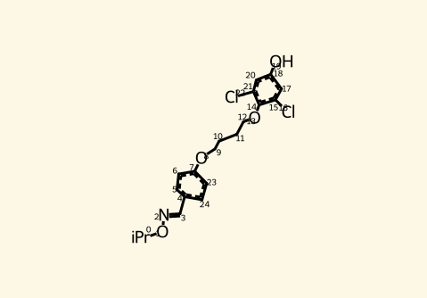 CC(C)ON=Cc1ccc(OCCCCOc2c(Cl)cc(O)cc2Cl)cc1